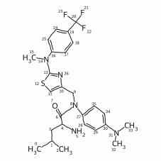 CC(C)CC(N)C(=O)N(Cc1csc(N(C)c2ccc(C(F)(F)F)cc2)n1)c1ccc(N(C)C)cc1